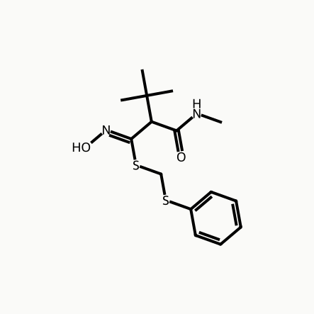 CNC(=O)C(/C(=N/O)SCSc1ccccc1)C(C)(C)C